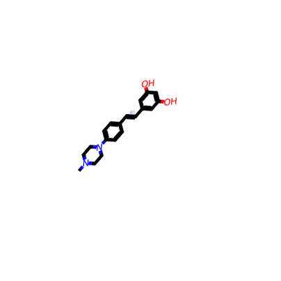 CN1CCN(c2ccc(/C=C/c3cc(O)cc(O)c3)cc2)CC1